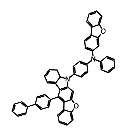 C1=CCC2C(=C1)c1c(cc3oc4ccccc4c3c1-c1ccc(-c3ccccc3)cc1)N2c1ccc(N(c2ccccc2)c2ccc3c(c2)oc2ccccc23)cc1